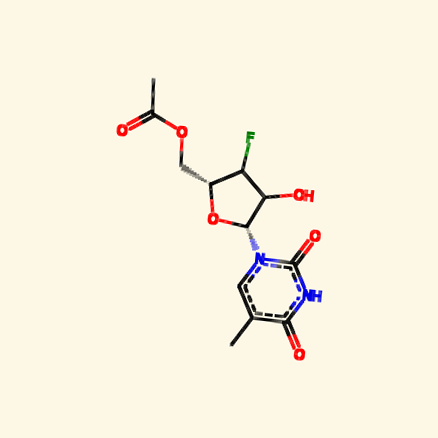 CC(=O)OC[C@H]1O[C@@H](n2cc(C)c(=O)[nH]c2=O)C(O)C1F